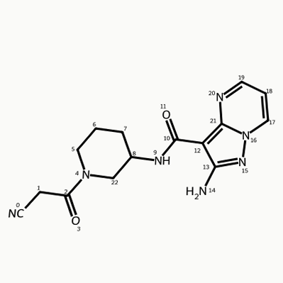 N#CCC(=O)N1CCCC(NC(=O)c2c(N)nn3cccnc23)C1